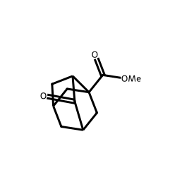 COC(=O)C12CC3CC(C1)C(=O)C2C3